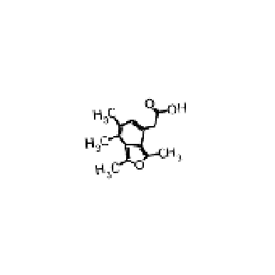 Cc1cc(CC(=O)O)c2c(C)oc(C)c2c1C